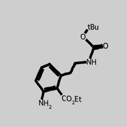 CCOC(=O)c1c(N)cccc1CCNC(=O)OC(C)(C)C